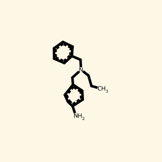 CCCN(Cc1ccccc1)Cc1ccc(N)cc1